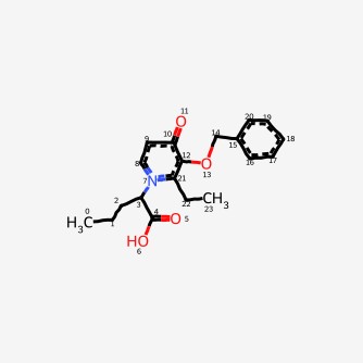 CCCC(C(=O)O)n1ccc(=O)c(OCc2ccccc2)c1CC